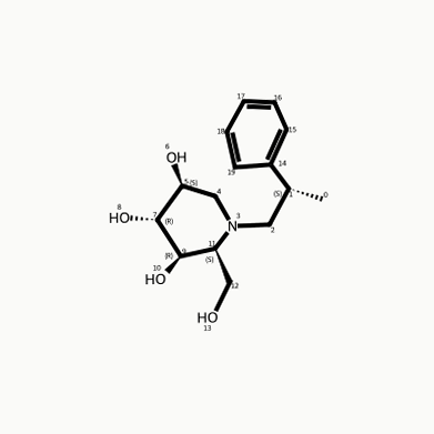 C[C@H](CN1C[C@H](O)[C@@H](O)[C@H](O)[C@@H]1CO)c1ccccc1